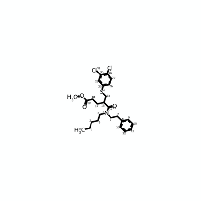 CCCCCN(CCc1ccccc1)C(=O)C(CCC(=O)OC)CSc1ccc(Cl)c(Cl)c1